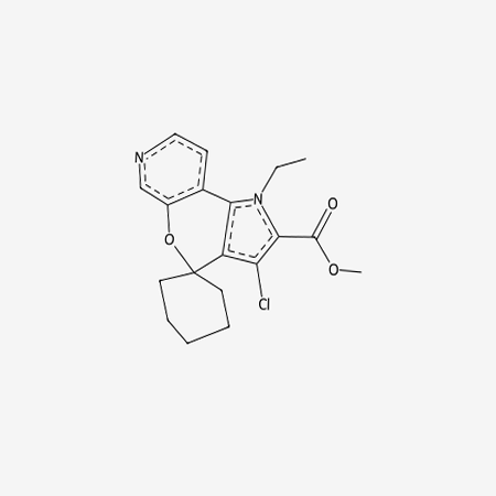 CCn1c(C(=O)OC)c(Cl)c2c1-c1ccncc1OC21CCCCC1